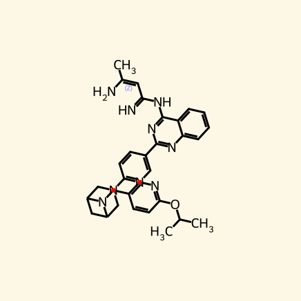 C/C(N)=C/C(=N)Nc1nc(-c2ccc(N3CC4CC(C3)N4Cc3ccc(OC(C)C)nc3)nc2)nc2ccccc12